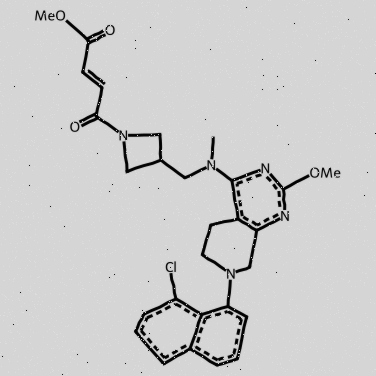 COC(=O)/C=C/C(=O)N1CC(CN(C)c2nc(OC)nc3c2CCN(c2cccc4cccc(Cl)c24)C3)C1